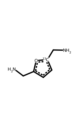 NCc1cc[13c](CN)o1